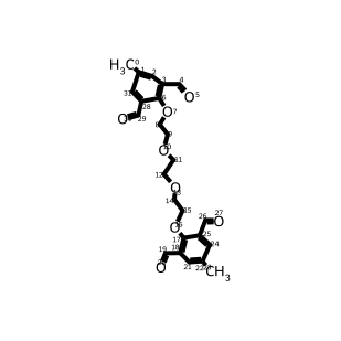 Cc1cc(C=O)c(OCCOCCOCCOc2c(C=O)cc(C)cc2C=O)c(C=O)c1